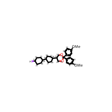 COc1ccc(C2(c3ccc(OC)cc3)OCC(C3CCC(C4CCC(I)CC4)CC3)CO2)cc1